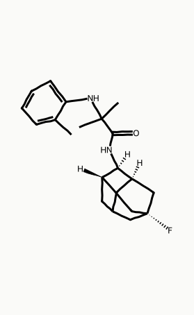 Cc1ccccc1NC(C)(C)C(=O)N[C@H]1[C@@H]2CC3C[C@H]1C[C@](F)(C3)C2